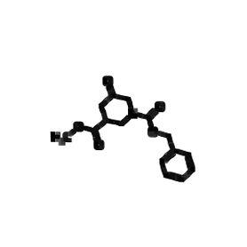 COC(=O)C1CC(=O)CN(C(=O)OCc2ccccc2)C1